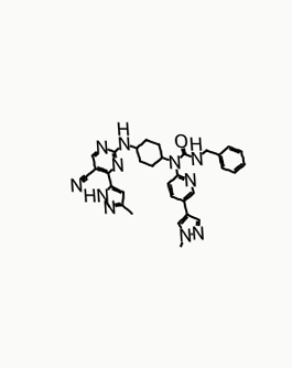 Cc1cc(-c2nc(NC3CCC(N(C(=O)NCc4ccccc4)c4ccc(-c5cnn(C)c5)cn4)CC3)ncc2C#N)[nH]n1